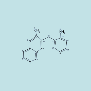 Cc1nc2ccccc2cc1Cc1ccccc1N